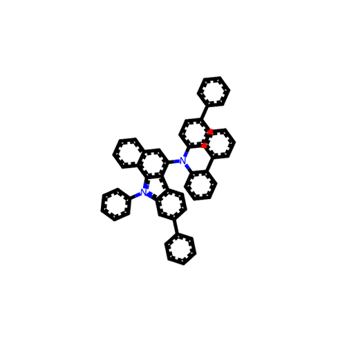 c1ccc(-c2ccc(N(c3ccccc3-c3ccccc3)c3cc4ccccc4c4c3c3ccc(-c5ccccc5)cc3n4-c3ccccc3)cc2)cc1